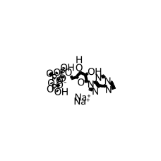 O=P([O-])(O)OP(=O)([O-])OP(=O)(O)OCC1OC(n2cnc3c2ncn2ccnc32)C(O)C1O.[Na+].[Na+]